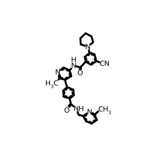 Cc1cccc(CNC(=O)c2ccc(-c3cc(NC(=O)c4cc(C#N)cc(N5CCCCC5)c4)cnc3C)cc2)n1